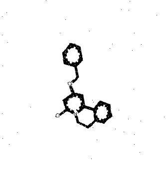 Clc1cc(OCc2ccccc2)cc2[n+]1CCc1ccccc1-2